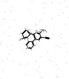 C#Cc1cc(-c2ccncc2)c(-c2cccc(F)c2)nc1N